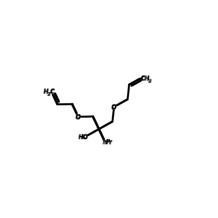 C=CCOCC(O)(CCC)COCC=C